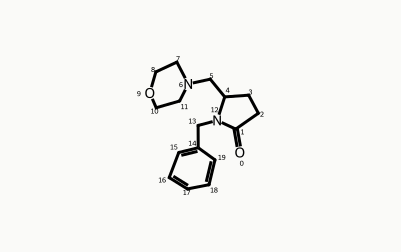 O=C1CCC(CN2CCOCC2)N1Cc1ccccc1